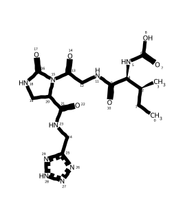 CC[C@H](C)[C@H](NC(=O)O)C(=O)NCC(=O)N1C(=O)NCC1C(=O)NCc1nn[nH]n1